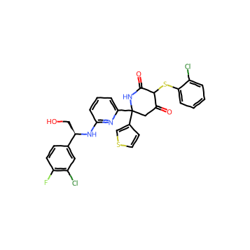 O=C1CC(c2ccsc2)(c2cccc(N[C@H](CO)c3ccc(F)c(Cl)c3)n2)NC(=O)C1Sc1ccccc1Cl